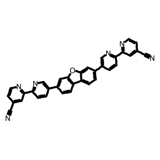 N#Cc1ccnc(-c2ccc(-c3ccc4c(c3)oc3cc(-c5ccc(-c6cc(C#N)ccn6)nc5)ccc34)cn2)c1